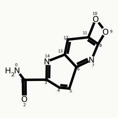 NC(=O)c1ccc2nc3ooc3[c]c2n1